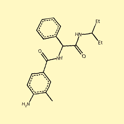 CCC(CC)NC(=O)C(NC(=O)c1ccc(N)c(C)c1)c1ccccc1